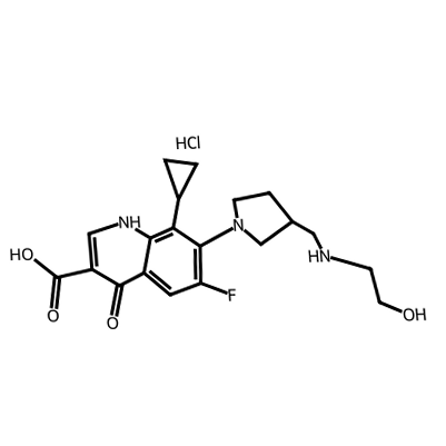 Cl.O=C(O)c1c[nH]c2c(C3CC3)c(N3CCC(CNCCO)C3)c(F)cc2c1=O